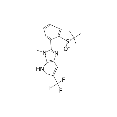 Cn1c(-c2ccccc2[S+]([O-])C(C)(C)C)nc2c1NCC(C(F)(F)F)=C2